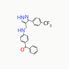 O=C(c1ccccc1)c1ccc(NCc2c[nH]nc2-c2ccc(C(F)(F)F)cc2)cc1